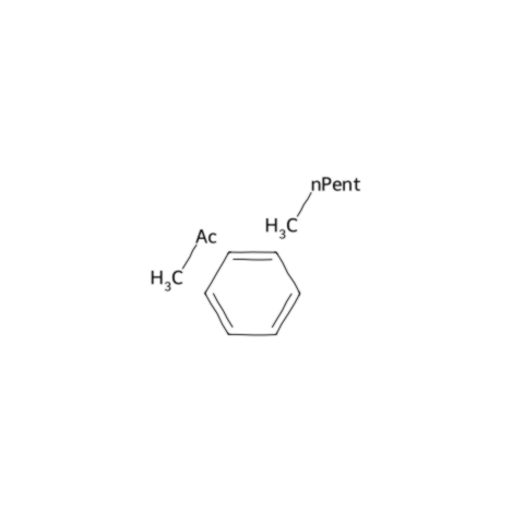 CC(C)=O.CCCCCC.c1ccccc1